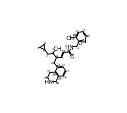 CC(CC1CC1)C(C=CC(=O)NCc1ncccc1Cl)Cc1cccc2c1CCNC2